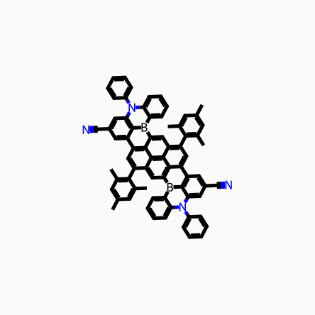 Cc1cc(C)c(-c2cc3c4c(cc5c(-c6c(C)cc(C)cc6C)cc6c7c(cc2c4c57)B2c4ccccc4N(c4ccccc4)c4cc(C#N)cc-6c42)B2c4ccccc4N(c4ccccc4)c4cc(C#N)cc-3c42)c(C)c1